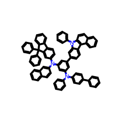 c1ccc(-c2ccc(N(c3ccccc3)c3cc(-c4ccc5c6c7ccccc7ccc6n(-c6ccccc6)c5c4)cc(N(c4ccc5c(c4)C(c4ccccc4)(c4ccccc4)c4ccccc4-5)c4ccc5ccccc5c4)c3)cc2)cc1